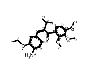 CCOc1cc(C=C(C(=O)c2ccc(OC)c(OC)c2OC)C(C)C)ccc1N